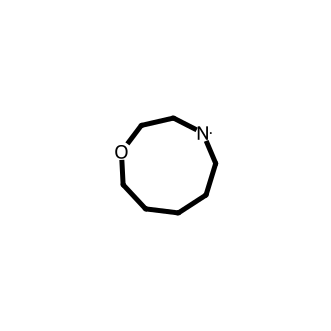 C1CC[N]CCOCC1